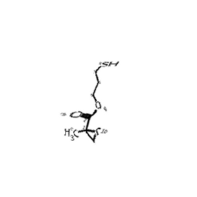 CC1(C(=O)OCCCS)CS1